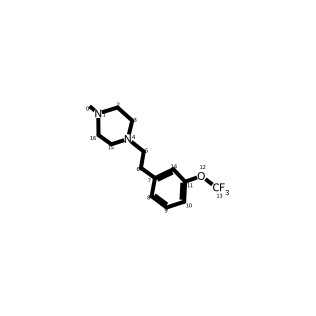 CN1CCN(C[CH]c2cccc(OC(F)(F)F)c2)CC1